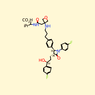 CC(C)C(NC(=O)CC1(NCCCc2ccc([C@@H]3[C@@H](CC[C@H](O)c4ccc(F)cc4)C(=O)N3c3ccc(F)cc3)cc2)COC1)C(=O)O